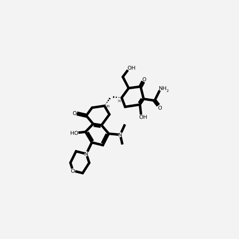 CN(C)c1cc(N2CCOCC2)c(O)c2c1C[C@@H](C[C@H]1CC(O)=C(C(N)=O)C(=O)C1CO)CC2=O